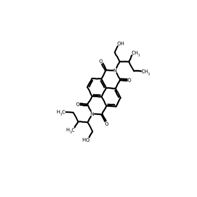 CCC(C)C(CO)N1C(=O)c2ccc3c4c(ccc(c24)C1=O)C(=O)N(C(CO)C(C)CC)C3=O